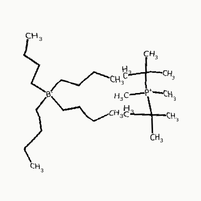 CC(C)(C)[P+](C)(C)C(C)(C)C.CCCC[B-](CCCC)(CCCC)CCCC